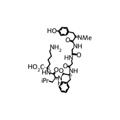 CN[C@@H](Cc1ccc(O)cc1)C(=O)NCC(=O)NCC(=O)N[C@@H](Cc1ccccc1)C(=O)N[C@@H](CC(C)C)C(=O)N[C@@H](CCCCN)C(=O)O